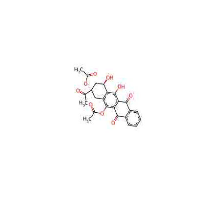 CC(=O)Oc1c2c(c(O)c3c1C(=O)c1ccccc1C3=O)[C@H](O)C[C@](OC(C)=O)(C(C)=O)C2